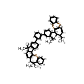 CCc1cc(-c2cccc(-c3ccc4c(c3)C(C)(C)C3C=CC5=C(SC6=C(CCC=C6)C(C)(C)C5)C43)c2)ccc1C1C2=C(C=CC(CC)C1C)Sc1ccccc1S2